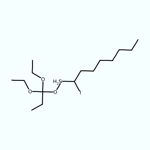 CCCCCCCC(I)[SiH2]OC(CC)(OCC)OCC